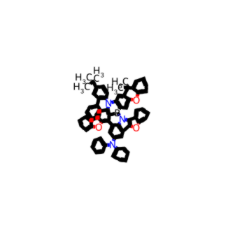 CC(C)(C)c1ccc(N2c3cc4c(cc3B3c5c2cc2c(oc6ccccc62)c5-c2cc(N(c5ccccc5)c5ccccc5)cc5c6oc7ccccc7c6n3c25)Oc2ccccc2C4(C)C)c(-c2ccccc2)c1